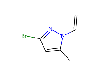 C=Cn1nc(Br)cc1C